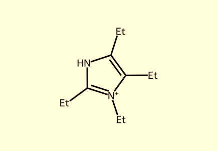 CCc1[nH]c(CC)[n+](CC)c1CC